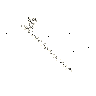 CCCCCCCCCCCCCCCCCCCCCCCCCOC(CC)C(=O)OC(C)(C)C